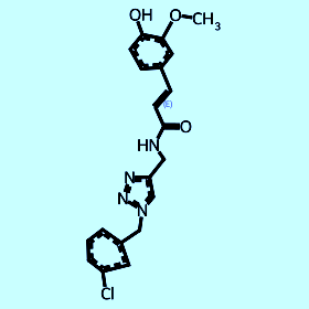 COc1cc(/C=C/C(=O)NCc2cn(Cc3cccc(Cl)c3)nn2)ccc1O